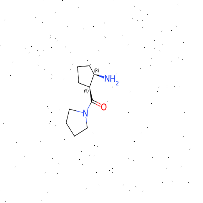 N[C@@H]1CCC[C@@H]1C(=O)N1CCCC1